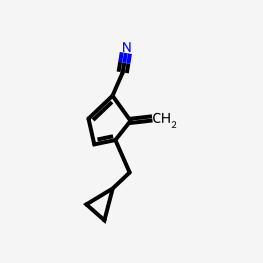 C=C1C(C#N)=CC=C1CC1CC1